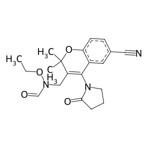 CCON(C=O)CC1=C(N2CCCC2=O)c2cc(C#N)ccc2OC1(C)C